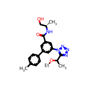 CCOC(C)c1nnnn1-c1cc(C(=O)N[C@@H](C)CO)cc(-c2ccc(C)cc2)c1